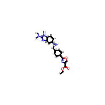 CCOC(=O)c1coc(-c2ccc(CNc3ccc4[nH]c(N(C)C)nc4c3)cc2)n1